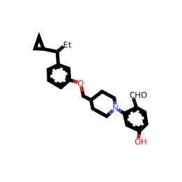 CCC(c1cccc(OCC2CCN(c3cc(O)ccc3C=O)CC2)c1)C1CC1